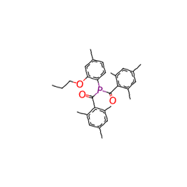 CCCOc1cc(C)ccc1P(C(=O)c1c(C)cc(C)cc1C)C(=O)c1c(C)cc(C)cc1C